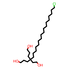 OCCCC(CCO)(CCCO)CCCCCCCCCCCCCCCCCCl